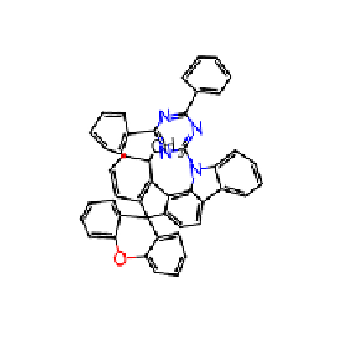 CC1CC=CC2=C1c1c(ccc3c4ccccc4n(-c4nc(-c5ccccc5)nc(-c5ccccc5)n4)c13)C21c2ccccc2Oc2ccccc21